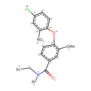 COc1cc(C(=O)N(CC(C)=O)C(C)C)ccc1Oc1ccc(Cl)cc1[N+](=O)[O-]